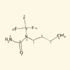 CCCCN(C(N)=O)C(F)(F)F